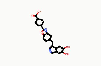 O=C(O)c1ccc(-c2nc3cc(Cc4cncc5cc(O)c(O)cc45)ccc3o2)cc1